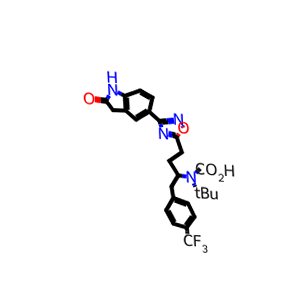 CC(C)(C)N(C(=O)O)C(CCc1nc(-c2ccc3c(c2)CC(=O)N3)no1)Cc1ccc(C(F)(F)F)cc1